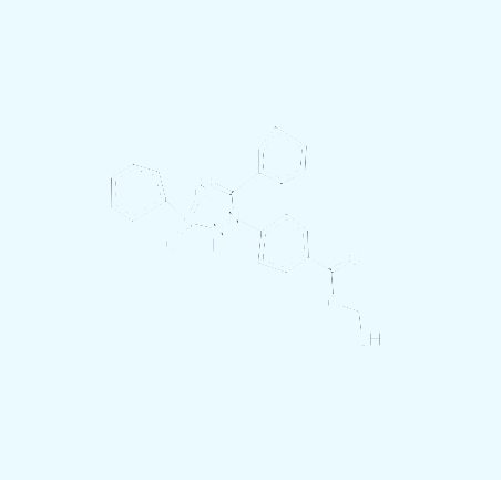 CCOC(=O)c1ccc(N(NS(=O)(=O)c2ccccc2)C(=O)c2ccccc2)cc1